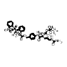 CN(C(=O)OCc1ccc(NC(=O)[C@H](CCCNC(N)=O)NC(=O)OC(C)(C)C)cc1)c1ccccc1N(C)S(=O)(=O)c1ccccc1[N+](=O)[O-]